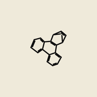 C1=CC2OC1c1c2c2ccccc2c2ccccc12